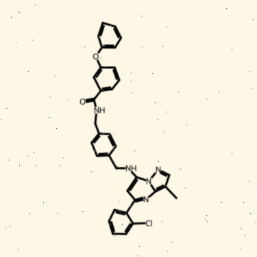 Cc1cnn2c(NCc3ccc(CNC(=O)c4cccc(Oc5ccccc5)c4)cc3)cc(-c3ccccc3Cl)nc12